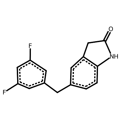 O=C1Cc2cc(Cc3cc(F)cc(F)c3)ccc2N1